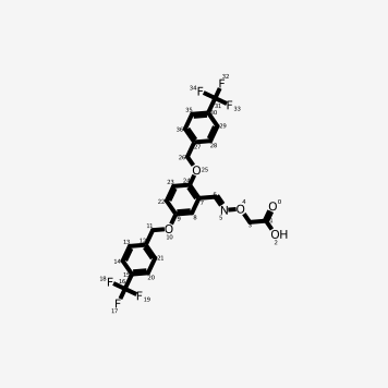 O=C(O)CO/N=C/c1cc(OCc2ccc(C(F)(F)F)cc2)ccc1OCc1ccc(C(F)(F)F)cc1